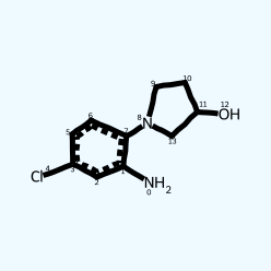 Nc1cc(Cl)ccc1N1CCC(O)C1